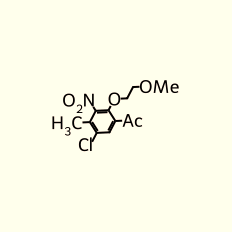 COCCOc1c(C(C)=O)cc(Cl)c(C)c1[N+](=O)[O-]